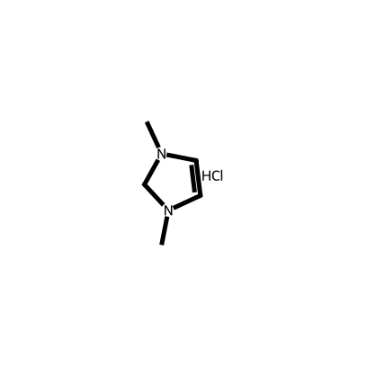 CN1C=CN(C)C1.Cl